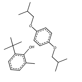 CC(C)COc1ccc(OCC(C)C)cc1.Cc1cccc(C(C)(C)C)c1O